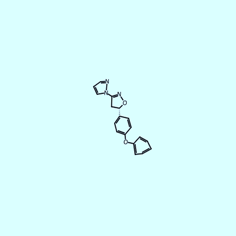 c1ccc(Oc2ccc([C@@H]3CC(n4cccn4)=NO3)cc2)cc1